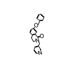 O=C1c2cc(OCc3ccccc3)ccc2CCN1Cc1cccnc1